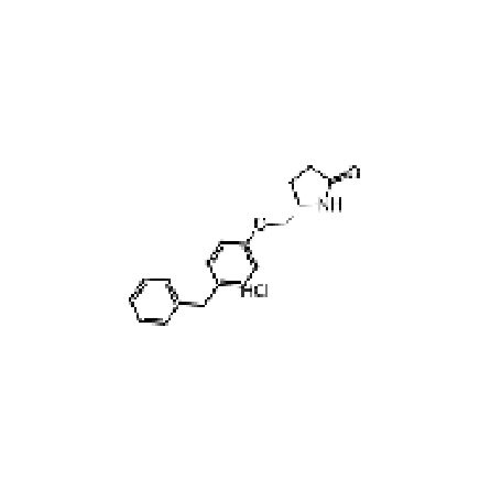 Cl.O=C1CC[C@@H](COc2ccc(Cc3ccccc3)cc2)N1